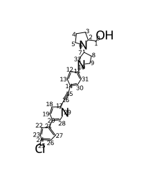 OCC1CCCN1[C@H]1CCN(c2ccc(C#Cc3ccc(-c4ccc(Cl)cc4)cn3)cc2)C1